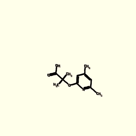 Cc1cc(C)nc(OC(C)(C)C(=O)O)c1